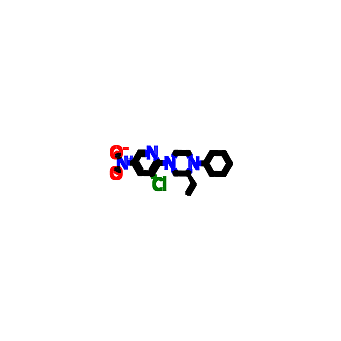 CC[C@H]1CN(c2ncc([N+](=O)[O-])cc2Cl)CCN1C1CCCCC1